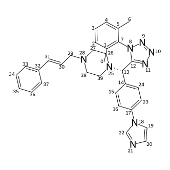 Cc1cccc(C)c1-n1nnnc1[C@H](c1ccc(-n2ccnc2)cc1)N1CCN(C/C=C/c2ccccc2)CC1